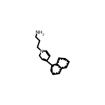 NCCCN1C=CC(c2cccc3ccccc23)=CC1